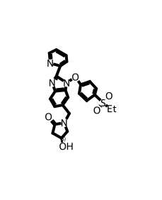 CCS(=O)(=O)c1ccc(On2c(-c3ccccn3)nc3ccc(CN4C[C@@H](O)CC4=O)cc32)cc1